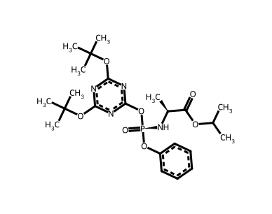 CC(C)OC(=O)[C@H](C)N[P@](=O)(Oc1ccccc1)Oc1nc(OC(C)(C)C)nc(OC(C)(C)C)n1